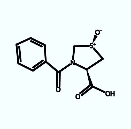 O=C(O)[C@@H]1C[S@+]([O-])CN1C(=O)c1ccccc1